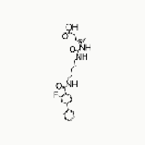 C[C@H](CCC(=O)O)NC(=O)NCCCCCNC(=O)c1ccc(-c2ccccc2)cc1F